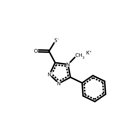 Cn1c(C(=O)[S-])nnc1-c1ccccc1.[K+]